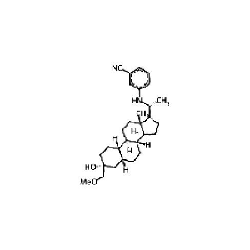 COC[C@@]1(O)CC[C@H]2[C@H](CC[C@@H]3[C@@H]2CC[C@]2(C)[C@@H]([C@@H](C)Nc4cccc(C#N)c4)CC[C@@H]32)C1